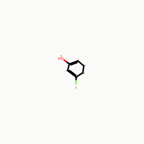 OC1=CCCC(F)=C1